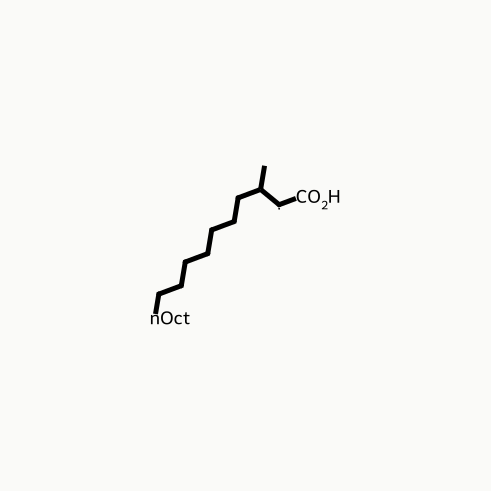 CCCCCCCCCCCCCCCC(C)[CH]C(=O)O